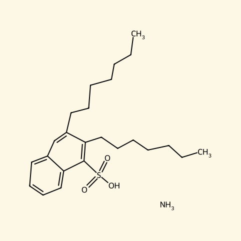 CCCCCCCc1cc2ccccc2c(S(=O)(=O)O)c1CCCCCCC.N